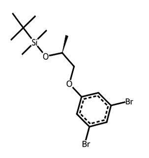 C[C@@H](COc1cc(Br)cc(Br)c1)O[Si](C)(C)C(C)(C)C